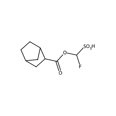 O=C(OC(F)S(=O)(=O)O)C1CC2CCC1C2